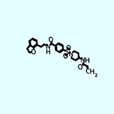 C=CC(=O)NC1CCN(S(=O)(=O)c2ccc(C(=O)NCCc3cccc4c3OCC4)cc2)CC1